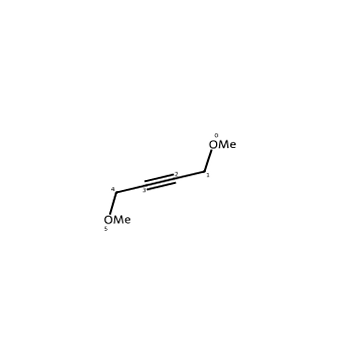 COCC#CCOC